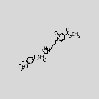 COC(=O)c1ccn(CCCCn2cc(C(=O)NCc3cccc(OC(F)(F)F)c3)nn2)c(=O)c1